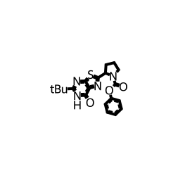 CC(C)(C)c1nc2sc(C3CCCN3C(=O)Oc3ccccc3)nc2c(=O)[nH]1